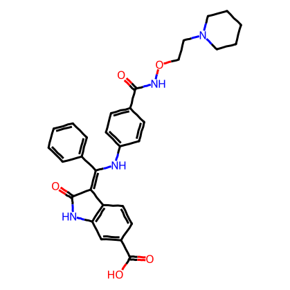 O=C1Nc2cc(C(=O)O)ccc2C1=C(Nc1ccc(C(=O)NOCCN2CCCCC2)cc1)c1ccccc1